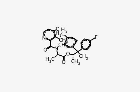 Cc1ccc(C(C)(c2ccc(F)cc2)[C@H](C)OC(=O)[C@@H](C)N(C)C(=O)c2nccc(C)c2C)cc1